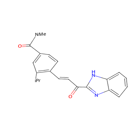 CNC(=O)c1ccc(C=CC(=O)c2nc3ccccc3[nH]2)c(C(C)C)c1